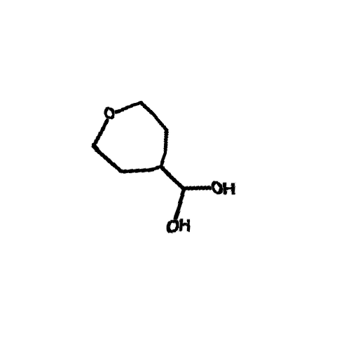 OC(O)C1CCOCC1